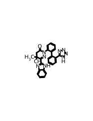 CC1(C)CC(=O)N(c2ccccc2-c2ccccc2-c2nnn[nH]2)N=C1c1nc2ccccc2[nH]1